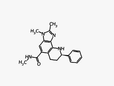 CNC(=O)c1cc2c(nc(C)n2C)c2c1CC[C@H](c1ccccc1)N2